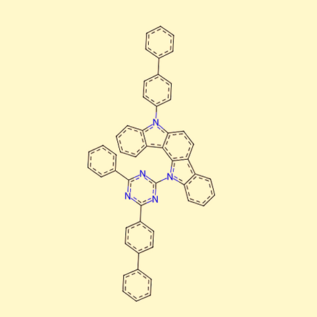 c1ccc(-c2ccc(-c3nc(-c4ccccc4)nc(-n4c5ccccc5c5ccc6c(c7ccccc7n6-c6ccc(-c7ccccc7)cc6)c54)n3)cc2)cc1